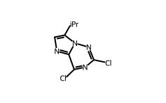 CC(C)c1cnc2c(Cl)nc(Cl)nn12